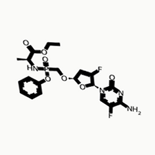 CCOC(=O)[C@H](C)NP(=O)(CO[C@@H]1C=C(F)[C@H](n2cc(F)c(N)nc2=O)O1)Oc1ccccc1